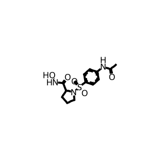 CC(=O)Nc1ccc(S(=O)(=O)N2CCCC2C(=O)NO)cc1